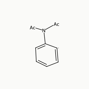 CC(=O)N(C(C)=O)c1[c]cccc1